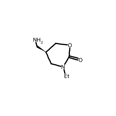 CCN1C[C@@H](CN)COC1=O